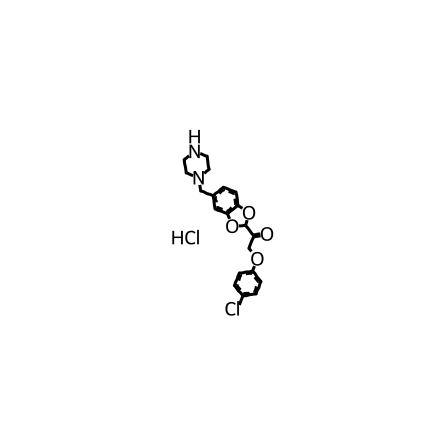 Cl.O=C(COc1ccc(Cl)cc1)C1Oc2ccc(CN3CCNCC3)cc2O1